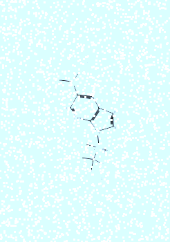 CC(C)(C)[Si](C)(C)n1ccc2cc(B(O)O)cnc21